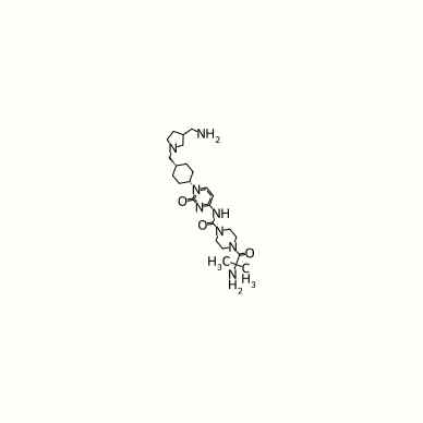 CC(C)(N)C(=O)N1CCN(C(=O)Nc2ccn([C@H]3CC[C@H](CN4CCC(CN)C4)CC3)c(=O)n2)CC1